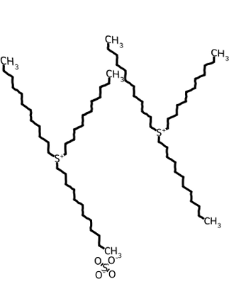 CCCCCCCCCCCC[S+](CCCCCCCCCCCC)CCCCCCCCCCCC.CCCCCCCCCCCC[S+](CCCCCCCCCCCC)CCCCCCCCCCCC.O=S(=O)([O-])[O-]